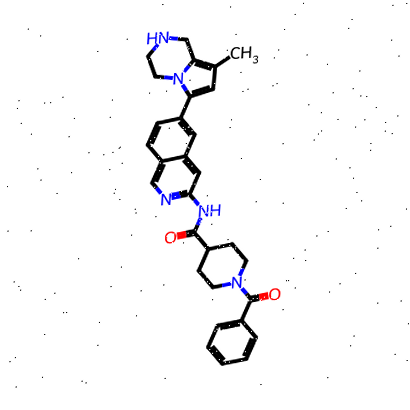 Cc1cc(-c2ccc3cnc(NC(=O)C4CCN(C(=O)c5ccccc5)CC4)cc3c2)n2c1CNCC2